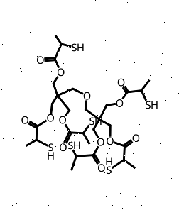 CC(S)C(=O)OCC(COCC(COC(=O)C(C)S)(COC(=O)C(C)S)COC(=O)C(C)S)(COC(=O)C(C)S)COC(=O)C(C)S